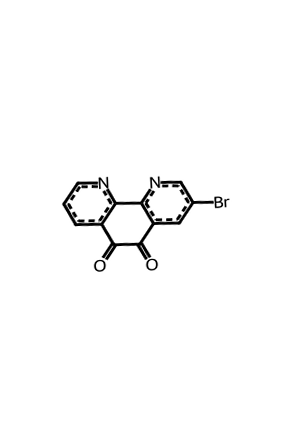 O=C1C(=O)c2cc(Br)cnc2-c2ncccc21